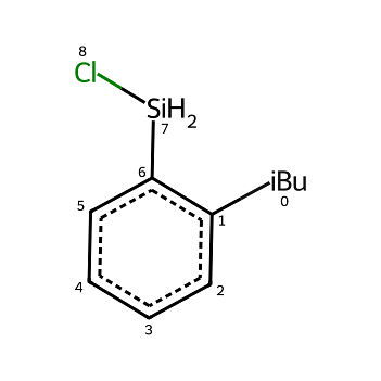 CCC(C)c1ccccc1[SiH2]Cl